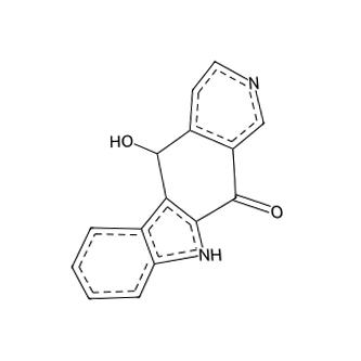 O=C1c2cnccc2C(O)c2c1[nH]c1ccccc21